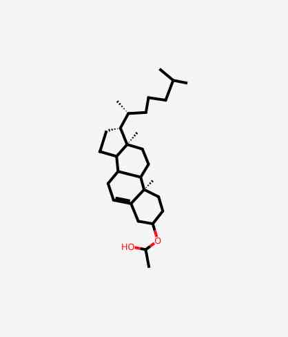 CC(C)CCC[C@@H](C)[C@H]1CCC2C3CC=C4CC(OC(C)O)CC[C@]4(C)C3CC[C@@]21C